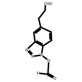 O=CCCc1ccc2c(c1)nnn2OC(=O)F